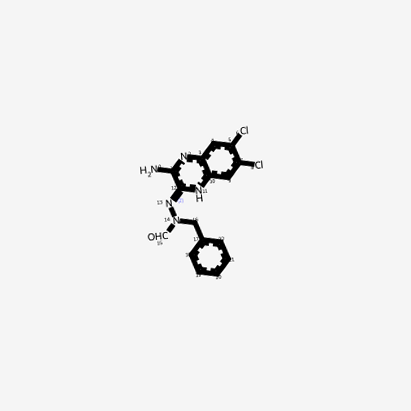 Nc1nc2cc(Cl)c(Cl)cc2[nH]/c1=N\N(C=O)Cc1ccccc1